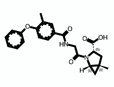 Cc1cc(C(=O)NCC(=O)N2[C@H]3C[C@@]3(C)C[C@H]2C(=O)O)ccc1Oc1ccccc1